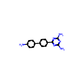 Nc1ccc(-c2ccc(-c3nc(N)nc(N)n3)cc2)cc1